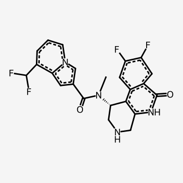 CN(C(=O)c1cc2c(C(F)F)cccn2c1)[C@H]1CNCc2[nH]c(=O)c3cc(F)c(F)cc3c21